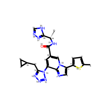 Cc1ccc(-c2cnc3c(-n4nnnc4CC4CC4)cc(C(=O)N[C@@H](C)c4nnc[nH]4)cn23)s1